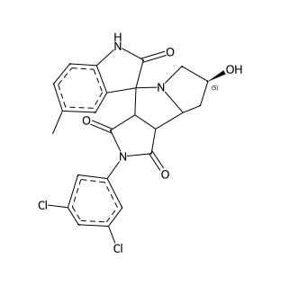 Cc1ccc2c(c1)C1(C(=O)N2)C2C(=O)N(c3cc(Cl)cc(Cl)c3)C(=O)C2C2C[C@H](O)CN21